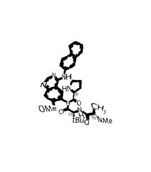 CN[C@@H](C)C(=O)N[C@H](C(=O)N(C(=O)[C@@H]1CCCN1)c1cc2c(Nc3ccc4ccccc4c3)ncnc2cc1OC)C(C)(C)C